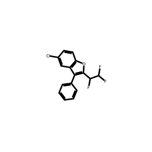 FC(F)C(F)c1oc2ccc(Cl)cc2c1-c1ccccc1